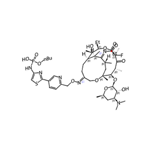 CCCCOP(=O)(O)Nc1csc(-c2ccc(CO/N=C3\CC[C@@H]4[C@@H](C)/C(=N/C(=O)CC)[C@H](C)C[C@@](C)(OC3)[C@H](O[C@@H]3O[C@H](C)C[C@H](N(C)C)[C@H]3O)[C@@H](C)C(=O)[C@](C)(F)C(=O)O[C@H](CC)[C@@]4(C)O)nc2)n1